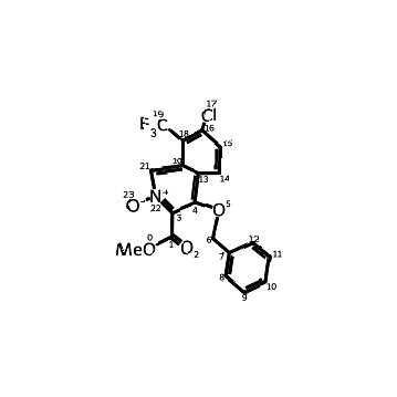 COC(=O)c1c(OCc2ccccc2)c2ccc(Cl)c(C(F)(F)F)c2c[n+]1[O-]